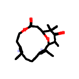 C/C1=C\CCOC(=O)CC2OC(/C(C)=C/CC1)C(C)C(=O)C2(C)C